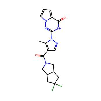 Cc1c(C(=O)N2CC3CC(F)(F)CC3C2)cnn1-c1nn2cccc2c(=O)[nH]1